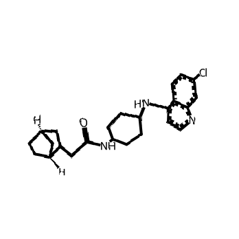 O=C(CC1C[C@@H]2CC[C@@H]1C2)NC1CCC(Nc2ccnc3cc(Cl)ccc23)CC1